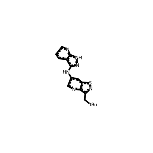 CC(C)(C)Cc1nsc2cc(Nc3n[nH]c4ncccc34)cnc12